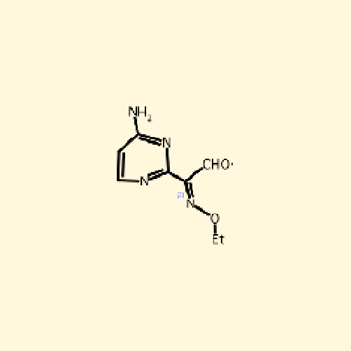 CCO/N=C(\[C]=O)c1nccc(N)n1